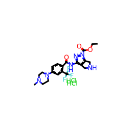 CCOC(=O)n1nc(NC(=O)c2ccc(N3CCN(C)CC3)cc2C(F)(F)F)c2c1CNC2.Cl.Cl